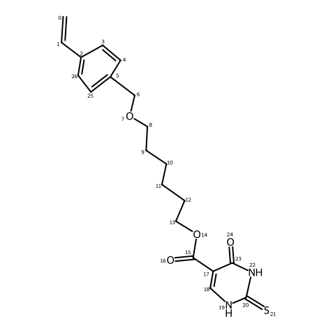 C=Cc1ccc(COCCCCCCOC(=O)c2c[nH]c(=S)[nH]c2=O)cc1